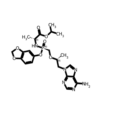 CC(C)OC(=O)[C@@H](C)N[P@@](=O)(CO[C@H](C)Cn1cnc2c(N)ncnc21)Oc1ccc2c(c1)OCO2